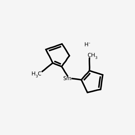 CC1=[C]([Sm][C]2=C(C)C=CC2)CC=C1.[H-]